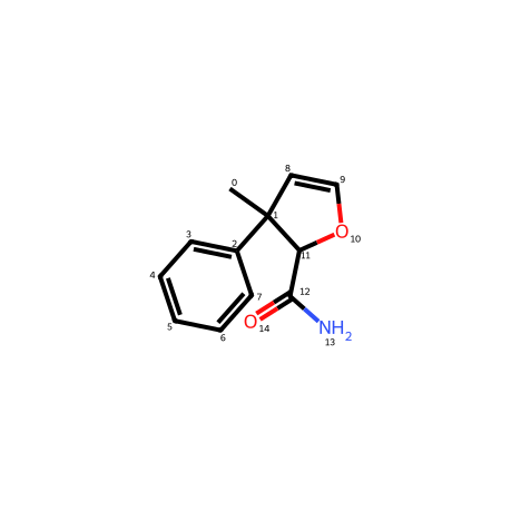 CC1(c2ccccc2)C=COC1C(N)=O